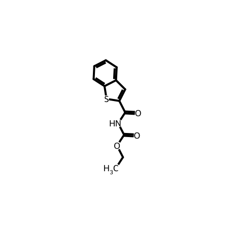 CCOC(=O)NC(=O)c1cc2ccccc2s1